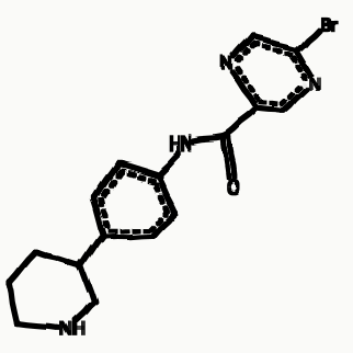 O=C(Nc1ccc(C2CCCNC2)cc1)c1cnc(Br)cn1